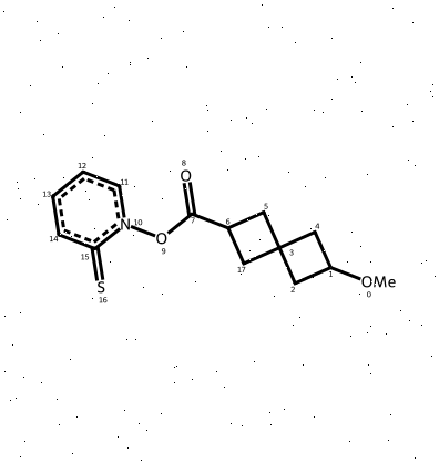 COC1CC2(C1)CC(C(=O)On1ccccc1=S)C2